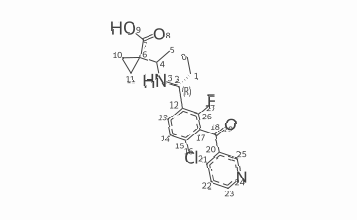 CC[C@@H](NC(C)C1(C(=O)O)CC1)c1ccc(Cl)c(C(=O)c2cccnc2)c1F